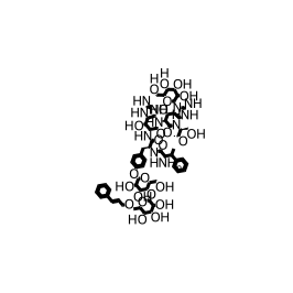 CC(c1ccccc1)[C@H](N)C(=O)N[C@@H](Cc1ccc(OC2OC(CO)C(OC3OC(COCC=Cc4ccccc4)C(O)C(O)C3O)C(O)C2O)cc1)C(=O)N[C@H](C(=O)N[C@H](C(=O)N[C@H]([C]=O)CO)C(O)C1CNC(=N)N1C1OC(CO)C(O)C(O)C1O)C(O)C1CNC(=N)N1